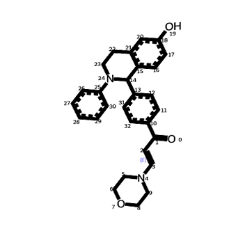 O=C(/C=C/N1CCOCC1)c1ccc(C2c3ccc(O)cc3CCN2c2ccccc2)cc1